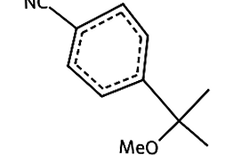 COC(C)(C)c1ccc(C#N)cc1